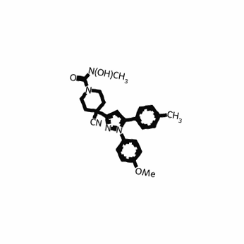 COc1ccc(-n2nc(C3(C#N)CCN(C(=O)N(C)O)CC3)cc2-c2ccc(C)cc2)cc1